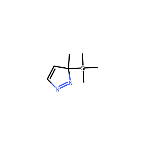 CC1([Si](C)(C)C)C=CN=N1